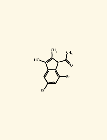 CC(=O)n1c(C)c(O)c2cc(Br)cc(Br)c21